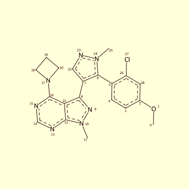 COc1ccc(-c2c(-c3nn(C)c4ncnc(N5CCC5)c34)cnn2C)c(Cl)c1